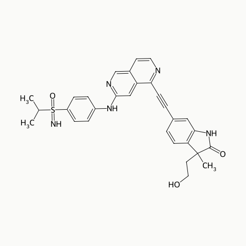 CC(C)S(=N)(=O)c1ccc(Nc2cc3c(C#Cc4ccc5c(c4)NC(=O)C5(C)CCO)nccc3cn2)cc1